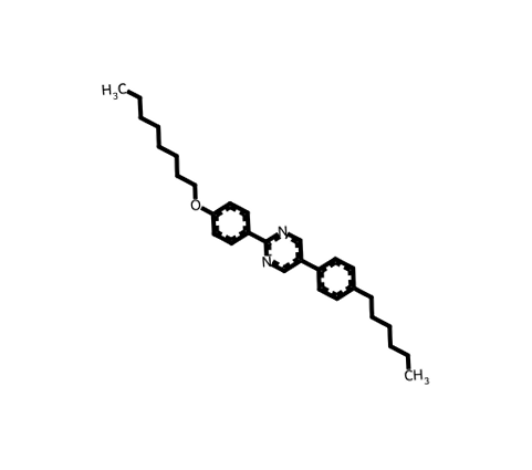 CCCCCCCCOc1ccc(-c2ncc(-c3ccc(CCCCCC)cc3)cn2)cc1